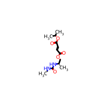 CNC(=O)N[C@@H](C)COC(=O)/C=C/C(=O)OC(C)C